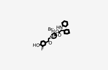 O=C(C[N+]12CCC(CC1)[C@@H](OC(=O)[C@H](Nc1ccccc1)c1ccccc1)C2)c1ccc(O)c(F)c1.[Br-]